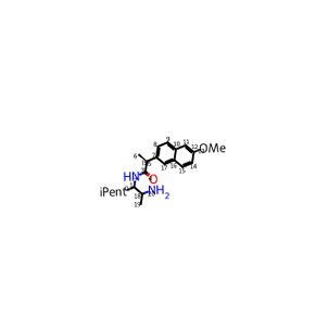 CCCC(C)C(NC(=O)[C@@H](C)c1ccc2cc(OC)ccc2c1)C(C)N